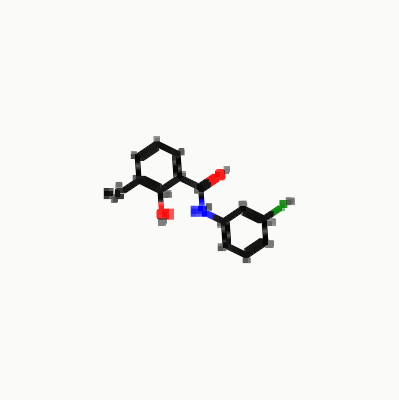 Cc1cccc(C(=O)Nc2cccc(F)c2)c1O